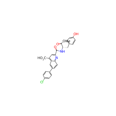 COC(=O)[C@H](Cc1ccc(O)cc1)NC(=O)c1cc(C(=O)O)c2cc(-c3ccc(Cl)cc3)ccc2n1